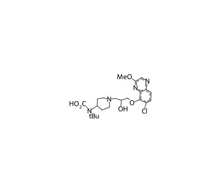 COc1cnc2ccc(Cl)c(OCC(O)CN3CCC(N(C(=O)O)C(C)(C)C)CC3)c2n1